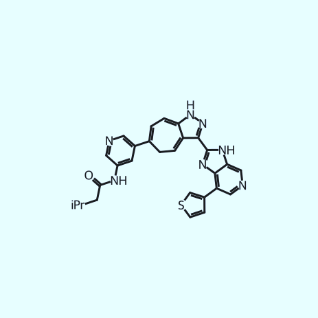 CC(C)CC(=O)Nc1cncc(C2=CC=c3[nH]nc(-c4nc5c(-c6ccsc6)cncc5[nH]4)c3=CC2)c1